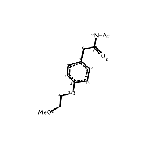 COCCOc1ccc(CC(=O)NC(C)=O)cc1